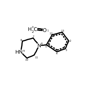 C=O.c1ccc(N2CCNCC2)cc1